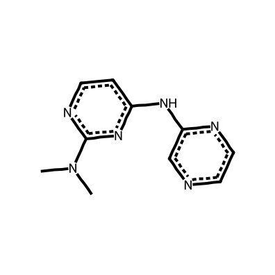 CN(C)c1nccc(Nc2cnccn2)n1